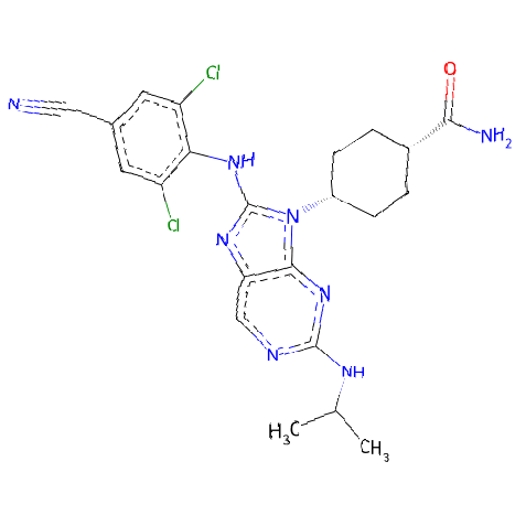 CC(C)Nc1ncc2nc(Nc3c(Cl)cc(C#N)cc3Cl)n([C@H]3CC[C@@H](C(N)=O)CC3)c2n1